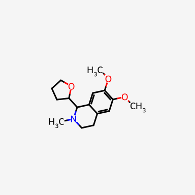 COc1cc2c(cc1OC)C(C1CCCO1)N(C)CC2